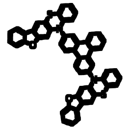 c1ccc2c(c1)Sc1cc3c(cc1N2c1ccc2c4ccc(N5c6ccccc6Sc6cc7c(cc65)oc5ccccc57)cc4c4ccccc4c2c1)oc1ccccc13